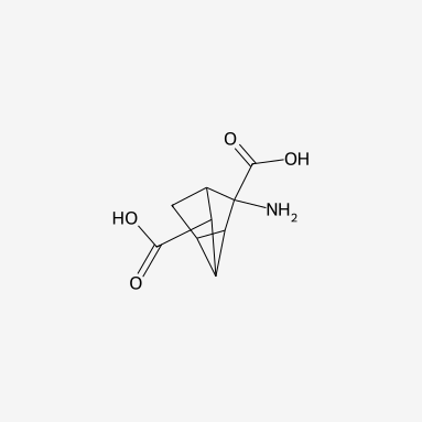 NC1(C(=O)O)C2CC3C(C2C(=O)O)C31